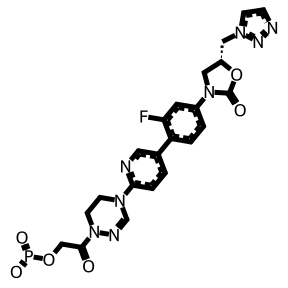 O=C(COP(=O)=O)N1CCN(c2ccc(-c3ccc(N4C[C@H](Cn5ccnn5)OC4=O)cc3F)cn2)C=N1